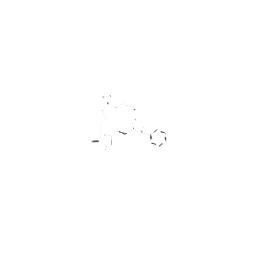 O=C1NC[C@H](C=CC(O)C(F)(F)c2ccccc2)N1CCCC1(CCP(=O)(O)O)CC1